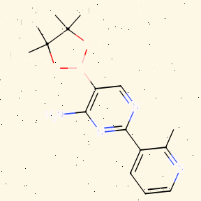 Cc1ncccc1-c1ncc(B2OC(C)(C)C(C)(C)O2)c(N)n1